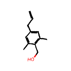 C=CCc1cc(C)c(CO)c(C)c1